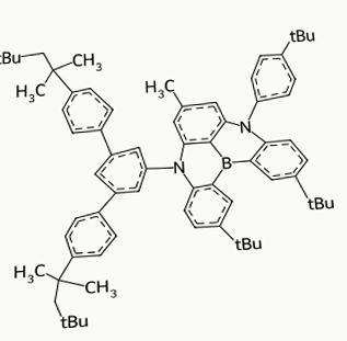 Cc1cc2c3c(c1)N(c1cc(-c4ccc(C(C)(C)CC(C)(C)C)cc4)cc(-c4ccc(C(C)(C)CC(C)(C)C)cc4)c1)c1ccc(C(C)(C)C)cc1B3c1cc(C(C)(C)C)ccc1N2c1ccc(C(C)(C)C)cc1